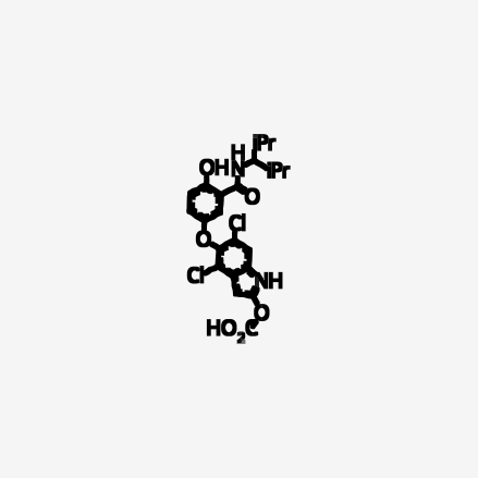 CC(C)C(NC(=O)c1cc(Oc2c(Cl)cc3[nH]c(OC(=O)O)cc3c2Cl)ccc1O)C(C)C